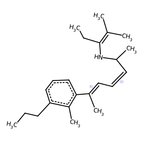 CCCc1cccc(/C(C)=C/C=C\C(C)NC(CC)=C(C)C)c1C